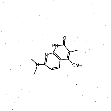 COc1c(C)c(=O)[nH]c2nc(N(C)C)ccc12